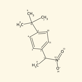 CC(c1ccc(C(C)(C)C)cc1)[N+](=O)[O-]